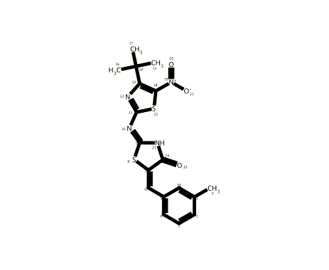 Cc1cccc(C=C2SC(=Nc3nc(C(C)(C)C)c([N+](=O)[O-])s3)NC2=O)c1